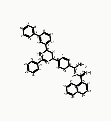 N=C(SC(N)C1C=CC(C2CC(c3cccc(-c4ccccc4)c3)NC(c3ccccc3)=N2)=CC1)C1=C2C=CC=CC2CC=C1